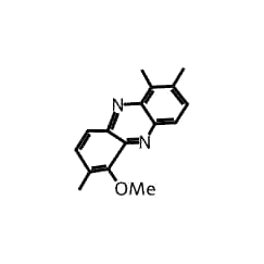 COc1c(C)ccc2nc3c(C)c(C)ccc3nc12